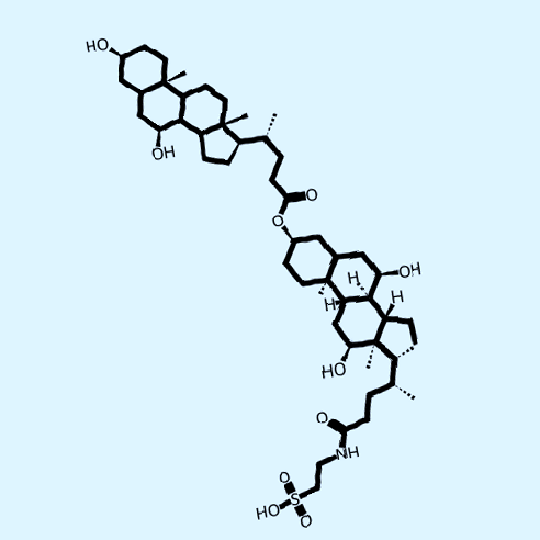 C[C@H](CCC(=O)NCCS(=O)(=O)O)[C@H]1CC[C@H]2[C@@H]3[C@H](O)CC4C[C@H](OC(=O)CC[C@@H](C)[C@H]5CCC6C7C(CC[C@@]65C)[C@@]5(C)CC[C@H](O)CC5C[C@@H]7O)CC[C@]4(C)[C@H]3C[C@H](O)[C@]12C